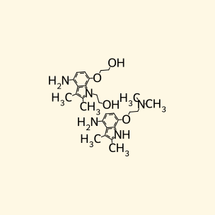 Cc1[nH]c2c(OCCN(C)C)ccc(N)c2c1C.Cc1c(C)n(CCO)c2c(OCCO)ccc(N)c12